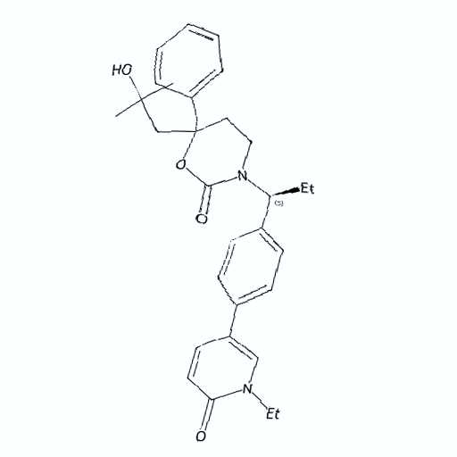 CC[C@@H](c1ccc(-c2ccc(=O)n(CC)c2)cc1)N1CCC(CC(C)(C)O)(c2ccccc2)OC1=O